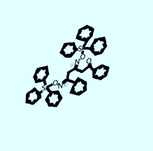 O=C(C/C(C/C(=N\O[Si](c1ccccc1)(c1ccccc1)c1ccccc1)c1ccccc1)=N\O[Si](c1ccccc1)(c1ccccc1)c1ccccc1)c1ccccc1